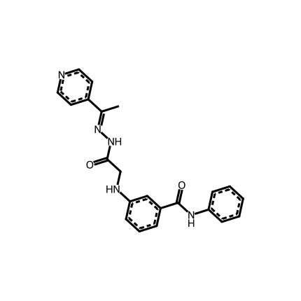 C/C(=N\NC(=O)CNc1cccc(C(=O)Nc2ccccc2)c1)c1ccncc1